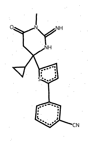 CN1C(=N)NC(c2ccc(-c3cccc(C#N)c3)s2)(C2CC2)CC1=O